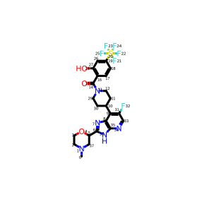 CN1CCOC(c2nc3c(C4CCN(C(=O)c5ccc(S(F)(F)(F)(F)F)cc5O)CC4)c(F)cnc3[nH]2)C1